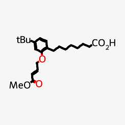 COC(=O)C=CCOc1cc(C(C)(C)C)ccc1CCCCCCCC(=O)O